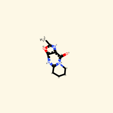 Cc1nc2c(=O)n3c(nc2o1)CCCC3